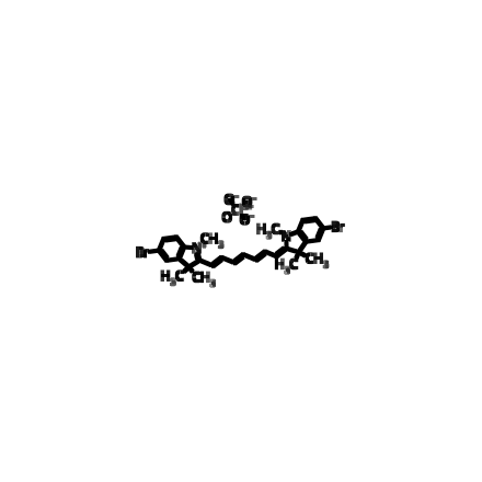 CN1\C(=C/C=C/C=C/C=C/C2=[N+](C)c3ccc(Br)cc3C2(C)C)C(C)(C)c2cc(Br)ccc21.[O-][Cl+3]([O-])([O-])[O-]